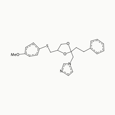 COc1ccc(SCC2COC(CCc3ccccc3)(Cn3ccnc3)O2)cc1